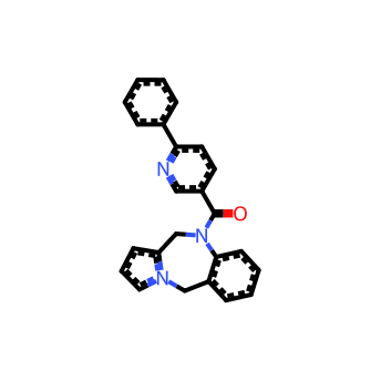 O=C(c1ccc(-c2ccccc2)nc1)N1Cc2cccn2Cc2ccccc21